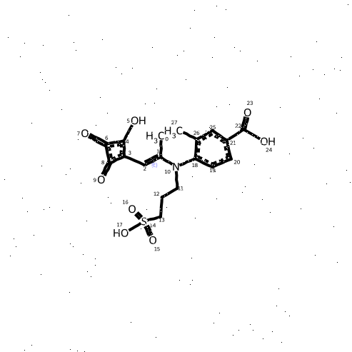 C/C(=C\c1c(O)c(=O)c1=O)N(CCCS(=O)(=O)O)c1ccc(C(=O)O)cc1C